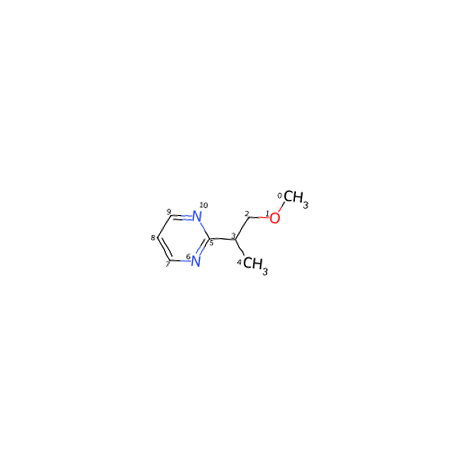 COCC(C)c1ncccn1